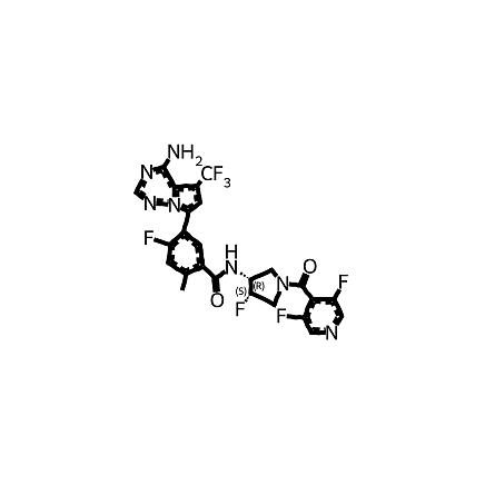 Cc1cc(F)c(-c2cc(C(F)(F)F)c3c(N)ncnn23)cc1C(=O)N[C@@H]1CN(C(=O)c2c(F)cncc2F)C[C@@H]1F